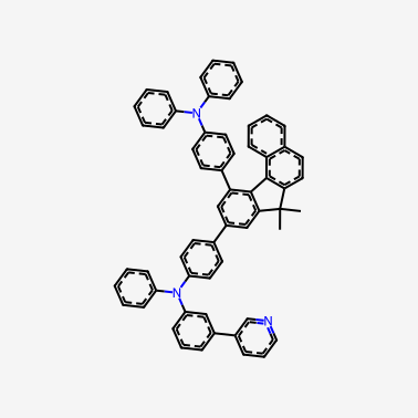 CC1(C)c2cc(-c3ccc(N(c4ccccc4)c4cccc(-c5cccnc5)c4)cc3)cc(-c3ccc(N(c4ccccc4)c4ccccc4)cc3)c2-c2c1ccc1ccccc21